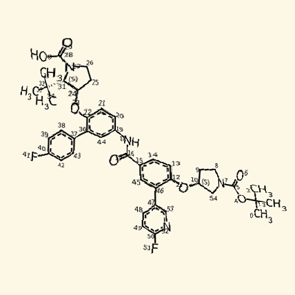 CC(C)(C)OC(=O)N1CC[C@H](Oc2ccc(C(=O)Nc3ccc(OC4CCN(C(=O)O)[C@H]4C(C)(C)C)c(-c4ccc(F)cc4)c3)cc2-c2ccc(F)nc2)C1